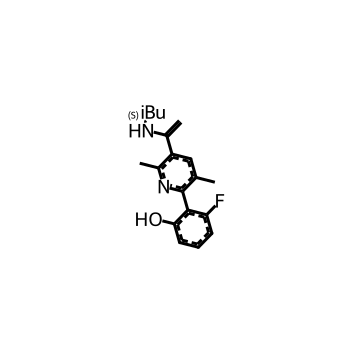 C=C(N[C@@H](C)CC)c1cc(C)c(-c2c(O)cccc2F)nc1C